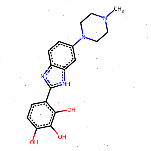 CN1CCN(c2ccc3nc(-c4ccc(O)c(O)c4O)[nH]c3c2)CC1